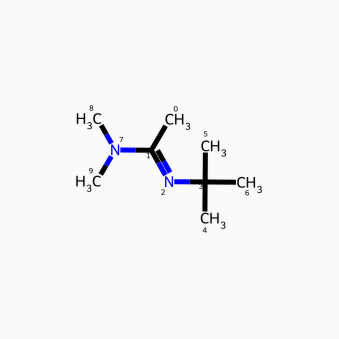 C/C(=N\C(C)(C)C)N(C)C